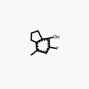 Cc1cc(F)c(O)c2c1CCC2